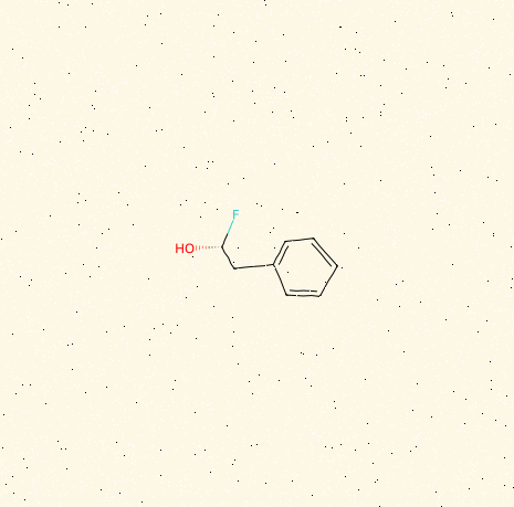 O[C@H](F)Cc1ccccc1